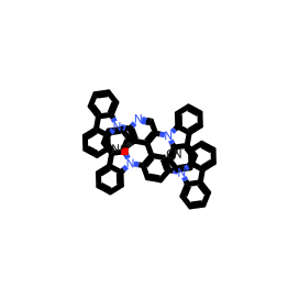 N#Cc1c(-n2c3ccccc3c3ccccc32)ccc(-n2c3ccccc3c3ccccc32)c1-c1c(-n2c3ccccc3c3ccccc32)cnc(-n2c3ccccc3c3ccccc32)c1C#N